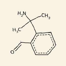 CC(C)(N)c1ccccc1[C]=O